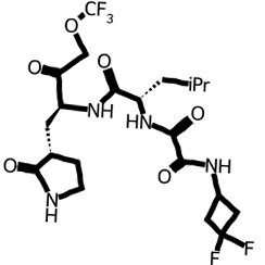 CC(C)C[C@H](NC(=O)C(=O)NC1CC(F)(F)C1)C(=O)N[C@@H](C[C@@H]1CCNC1=O)C(=O)COC(F)(F)F